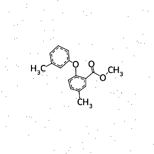 COC(=O)c1cc(C)ccc1Oc1cccc(C)c1